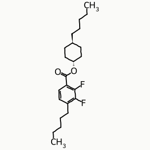 CCCCCc1ccc(C(=O)O[C@H]2CC[C@H](CCCCC)CC2)c(F)c1F